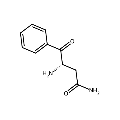 NC(=O)C[C@H](N)C(=O)c1ccccc1